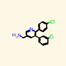 NCc1cnc(-c2ccc(Cl)cc2)c(-c2cccc(Cl)c2)c1